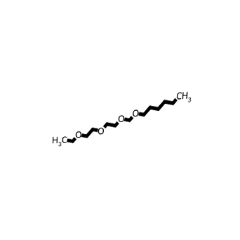 CCCCCCOCOCCOCCOCC